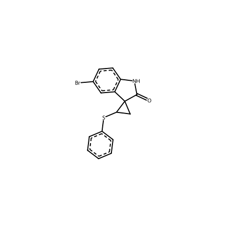 O=C1Nc2ccc(Br)cc2C12CC2Sc1ccccc1